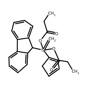 [CH2]=[Ti]([O]C(=O)CC)([O]C(=O)CC)([C]1=CC=CC1)[CH]1c2ccccc2-c2ccccc21